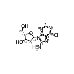 Nc1nc2c(Cl)ncnc2n1[C@@H]1C[C@@H](O)[C@H](CO)O1